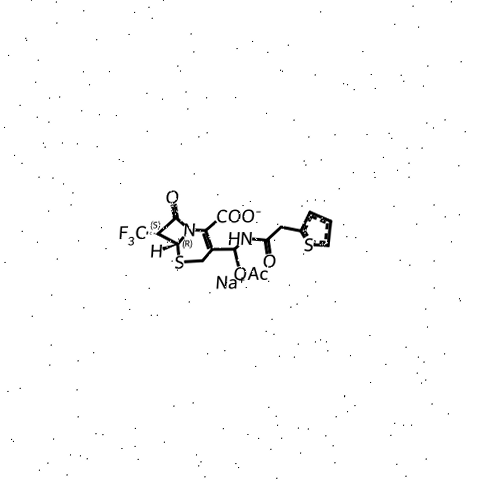 CC(=O)OC(NC(=O)Cc1cccs1)C1=C(C(=O)[O-])N2C(=O)[C@@H](C(F)(F)F)[C@H]2SC1.[Na+]